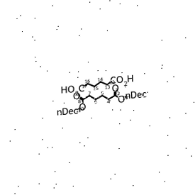 CCCCCCCCCCOC(=O)CCCCC(=O)OCCCCCCCCCC.O=C(O)CCCCC(=O)O